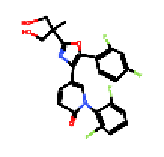 CC(CO)(CO)c1nc(-c2ccc(=O)n(-c3c(F)cccc3F)c2)c(-c2ccc(F)cc2F)o1